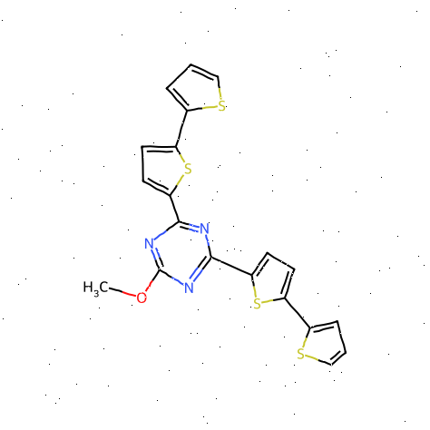 COc1nc(-c2ccc(-c3cccs3)s2)nc(-c2ccc(-c3cccs3)s2)n1